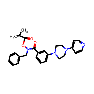 CC(C)C(=O)ON(Cc1ccccc1)C(=O)c1cccc(N2CCN(c3ccncc3)CC2)c1